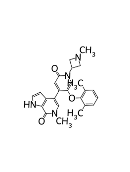 Cc1cccc(C)c1Oc1cn(C2CN(C)C2)c(=O)cc1-c1cn(C)c(=O)c2[nH]ccc12